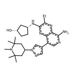 CCc1nc2c(N)ncc(-c3cnn(C4CC(C)(C)N(C)C(C)(C)C4)c3)c2nc1N[C@@H]1CC[C@H](O)C1